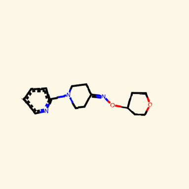 [c]1ccc(N2CCC(=NOC3CCOCC3)CC2)nc1